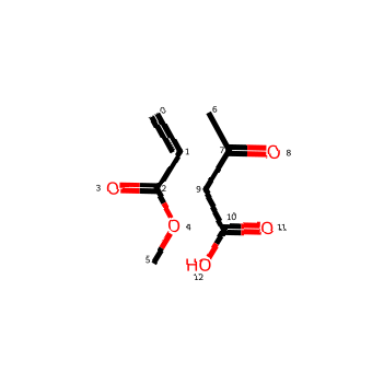 C=CC(=O)OC.CC(=O)CC(=O)O